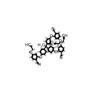 C#CCOc1ccc(C#N)c(Oc2ccc(C(C)(c3ccc(Oc4cc(OCC#C)ccc4C#N)cc3)c3ccc(Oc4cc(OCC#C)ccc4C#N)cc3)cc2)c1